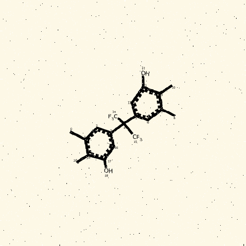 Cc1cc(C(c2cc(C)c(C)c(O)c2)(C(F)(F)F)C(F)(F)F)cc(O)c1C